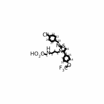 O=C(O)CNCCCn1c(-c2ccc(OC(F)(F)F)cc2)csc1=NCc1ccc(Cl)cc1